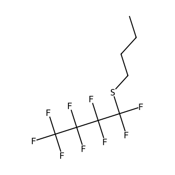 CCCCSC(F)(F)C(F)(F)C(F)(F)C(F)(F)F